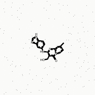 Cc1ccn2c(=O)c(CO)c(Nc3ccc4[nH]cnc4c3)nc2c1